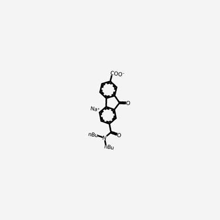 CCCCN(CCCC)C(=O)c1ccc2c(c1)C(=O)c1cc(C(=O)[O-])ccc1-2.[Na+]